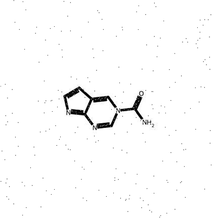 NC(=O)n1cnc2nccc-2c1